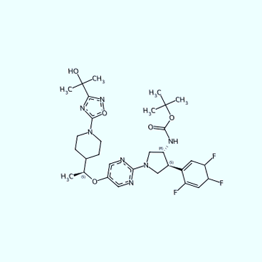 C[C@H](Oc1cnc(N2C[C@H](NC(=O)OC(C)(C)C)[C@@H](C3=CC(F)C(F)C=C3F)C2)nc1)C1CCN(c2nc(C(C)(C)O)no2)CC1